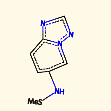 CSNc1ccc2ncnn2c1